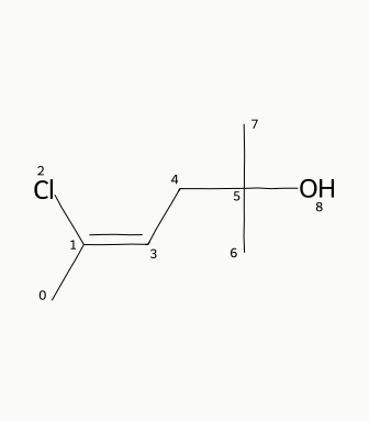 CC(Cl)=CCC(C)(C)O